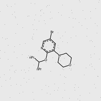 CCCC(CCC)Oc1ncc(Br)cc1N1CCOCC1